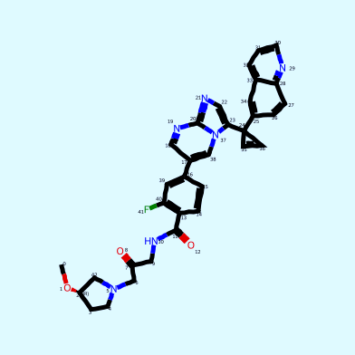 CO[C@@H]1CCN(CC(=O)CNC(=O)c2ccc(-c3cnc4ncc(C5(c6ccc7ncccc7c6)C=C5)n4c3)cc2F)C1